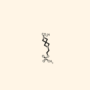 CS(=O)(=O)OCCN1CC2(C1)CN(C(=O)O)C2